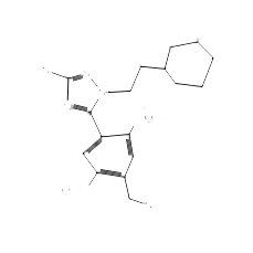 COc1cc(-c2nc(N)nn2CCC2CCCCC2)c(OC)cc1CN